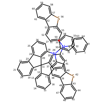 c1ccc(N(c2ccc3c(c2)C2(c4ccccc4-3)c3ccccc3-c3cccc(N(c4ccccc4)c4ccc5c(c4)sc4ccccc45)c32)c2ccc3c(c2)sc2ccccc23)cc1